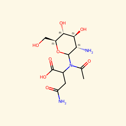 CC(=O)N(C(CC(N)=O)C(=O)O)C1O[C@@H](CO)[C@H](O)[C@@H](O)[C@@H]1N